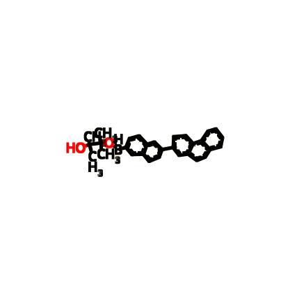 CC(C)(O)C(C)(C)OBc1ccc2cc(-c3ccc4c(ccc5ccccc54)c3)ccc2c1